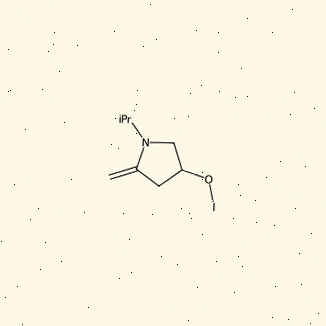 C=C1CC(OI)CN1C(C)C